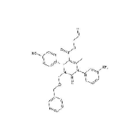 C=CCOC(=O)C1=C(C)N(c2cccc(C(F)(F)F)c2)C(=O)N(COCc2ccccc2)[C@@H]1c1ccc(C#N)cc1